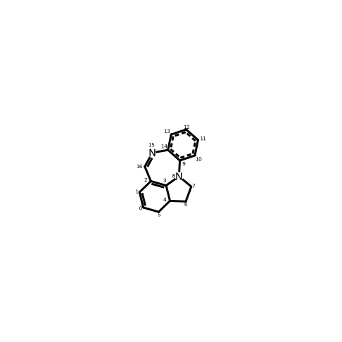 C1=CC2=C3C(C1)CCN3c1ccccc1N=C2